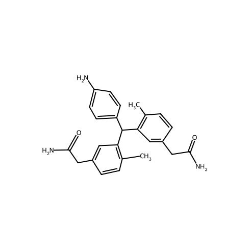 Cc1ccc(CC(N)=O)cc1C(c1ccc(N)cc1)c1cc(CC(N)=O)ccc1C